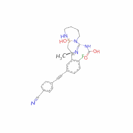 C[C@@]1(c2cc(C#Cc3ccc(C#N)cc3)ccc2F)CS2(O)NCCCCN2C(NC(=O)O)=N1